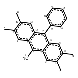 Cc1cc2c(C#N)c3cc(C)c(C)cc3c(-c3ccccc3)c2cc1C